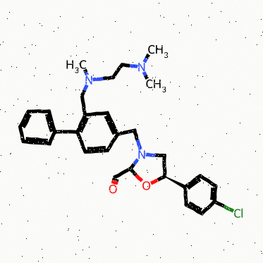 CN(C)CCN(C)Cc1cc(CN2C[C@@H](c3ccc(Cl)cc3)OC2C=O)ccc1-c1ccccc1